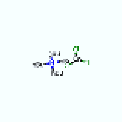 CCCC[N+](CCCC)(CCCC)CCCC.[Cl][Cr]([Cl])[Cl]